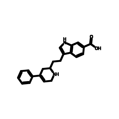 O=C(O)c1ccc2c(CCC3CC(c4ccccc4)=CCN3)c[nH]c2c1